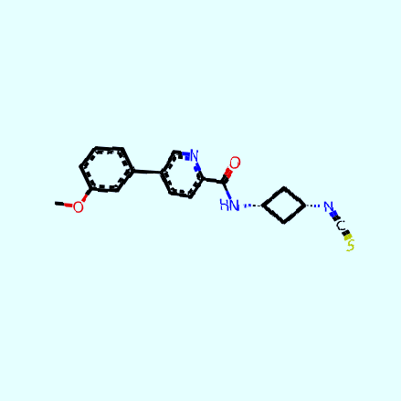 COc1cccc(-c2ccc(C(=O)N[C@H]3C[C@@H](N=C=S)C3)nc2)c1